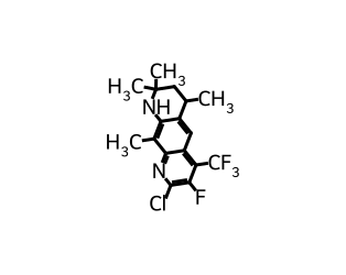 Cc1c2c(cc3c(C(F)(F)F)c(F)c(Cl)nc13)C(C)CC(C)(C)N2